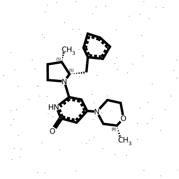 C[C@@H]1CN(c2cc(N3CC[C@H](C)[C@@H]3Cc3ccccc3)[nH]c(=O)c2)CCO1